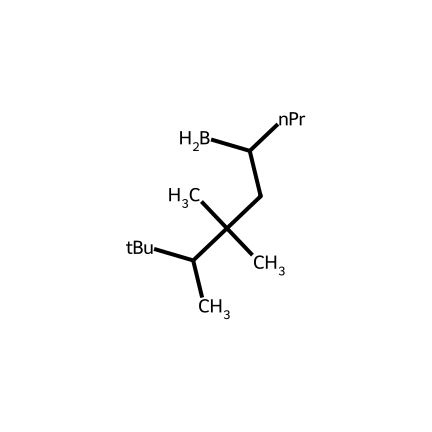 BC(CCC)CC(C)(C)C(C)C(C)(C)C